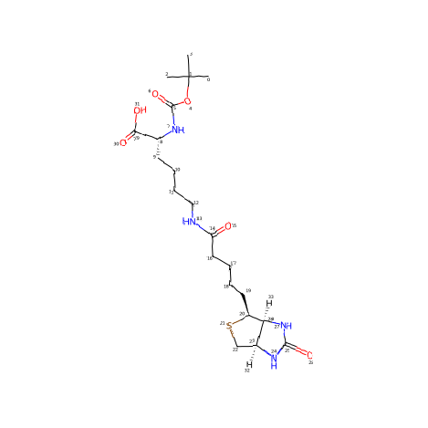 CC(C)(C)OC(=O)N[C@H](CCCCNC(=O)CCCC[C@@H]1SC[C@@H]2NC(=O)N[C@@H]21)C(=O)O